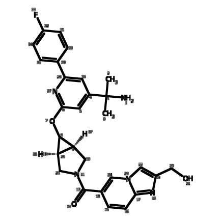 CC(C)(N)c1cc(OC2[C@H]3CN(C(=O)c4ccc5nc(CO)cn5c4)C[C@@H]23)nc(-c2ccc(F)cc2)c1